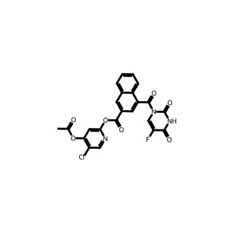 CC(=O)Oc1cc(OC(=O)c2cc(C(=O)n3cc(F)c(=O)[nH]c3=O)c3ccccc3c2)ncc1Cl